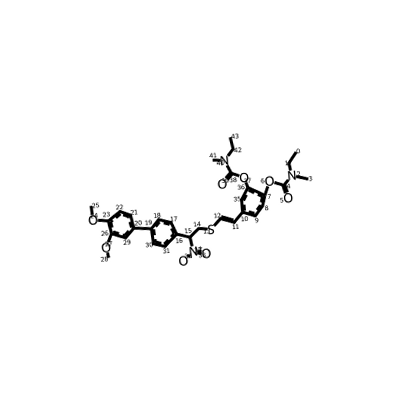 CCN(C)C(=O)Oc1ccc(/C=C/SCC(c2ccc(-c3ccc(OC)c(OC)c3)cc2)[N+](=O)[O-])cc1OC(=O)N(C)CC